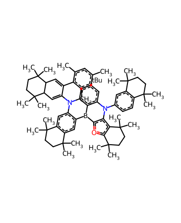 Cc1cc(C)c(C2=CC3C(C=C2N2c4cc5c(cc4B4c6oc7c(c6N(c6ccc8c(c6)C(C)(C)CCC8(C)C)c6cc(C(C)(C)C)cc2c64)C(C)(C)CCC7(C)C)C(C)(C)CCC5(C)C)C(C)(C)CCC3(C)C)c(C)c1